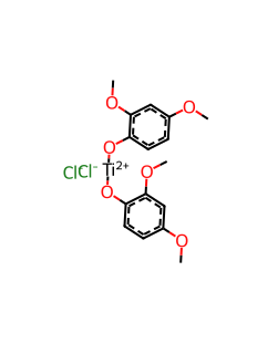 COc1ccc([O][Ti+2][O]c2ccc(OC)cc2OC)c(OC)c1.[Cl-].[Cl-]